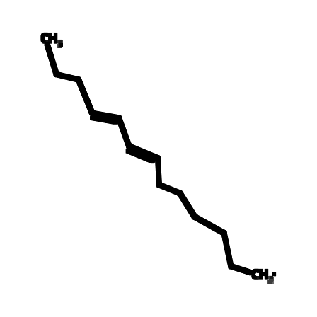 [CH2]CCCCCC=CC=CCCC